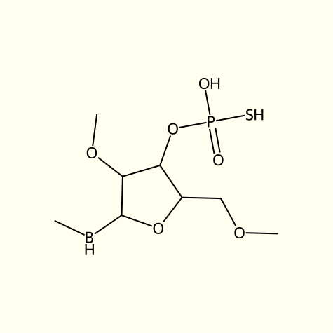 CBC1OC(COC)C(OP(=O)(O)S)C1OC